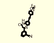 N#Cc1cccc(C2=Nc3ccc(C#Cc4ccc(OC(F)(F)F)cc4)cc3NC(=O)C2)c1